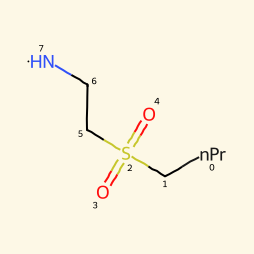 CCCCS(=O)(=O)CC[NH]